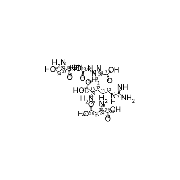 C[C@H](N)C(=O)O.N=C(N)NCCC[C@H](N)C(=O)O.NCC(=O)O.N[C@@H](CC(=O)O)C(=O)O.N[C@@H](CO)C(=O)O